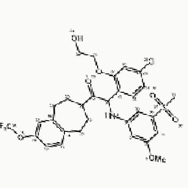 COc1cc(NC(C(=O)C2CCc3ccc(OC(F)(F)F)cc3CC2)c2ccc(Cl)cc2OCCO)cc(S(C)(=O)=O)c1